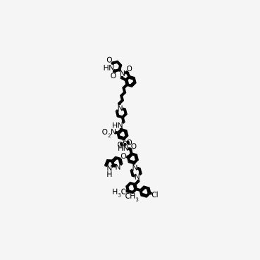 CC1(C)CCC(CN2CCN(c3ccc(C(=O)NS(=O)(=O)c4ccc(NCC5CCN(CCCCCc6cccc7c6CN(C6CCC(=O)NC6=O)C7=O)CC5)c([N+](=O)[O-])c4)c(Oc4cnc5[nH]ccc5c4)c3)CC2)=C(c2ccc(Cl)cc2)C1